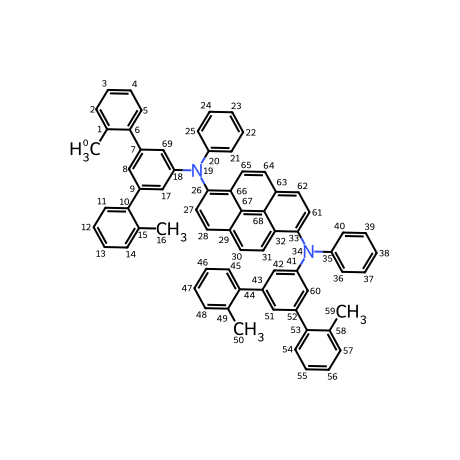 Cc1ccccc1-c1cc(-c2ccccc2C)cc(N(c2ccccc2)c2ccc3ccc4c(N(c5ccccc5)c5cc(-c6ccccc6C)cc(-c6ccccc6C)c5)ccc5ccc2c3c54)c1